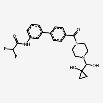 O=C(Nc1cccc(-c2ccc(C(=O)N3CCN(C(O)C4(O)CC4)CC3)cc2)c1)C(F)F